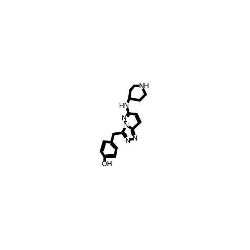 Oc1ccc(Cc2nnc3ccc(NC4CCNCC4)nn23)cc1